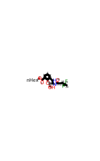 CCCCCCOC(=O)c1cccc2c1OB(O)[C@@H](NC(=O)CCC(C)(F)F)C2